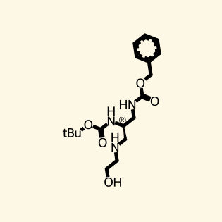 CC(C)(C)OC(=O)N[C@H](CNCCO)CNC(=O)OCc1ccccc1